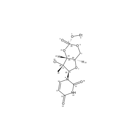 CCO[P@]1(=O)OC[C@H]2O[C@@H](n3ccc(=O)[nH]c3=O)[C@](C)(Cl)[C@@H]2O1